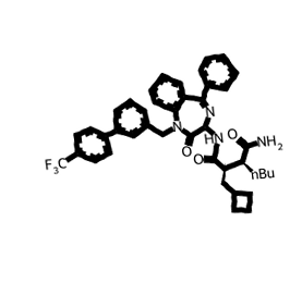 CCCC[C@H](C(N)=O)[C@@H](CC1CCC1)C(=O)NC1N=C(c2ccccc2)c2ccccc2N(Cc2cccc(-c3ccc(C(F)(F)F)cc3)c2)C1=O